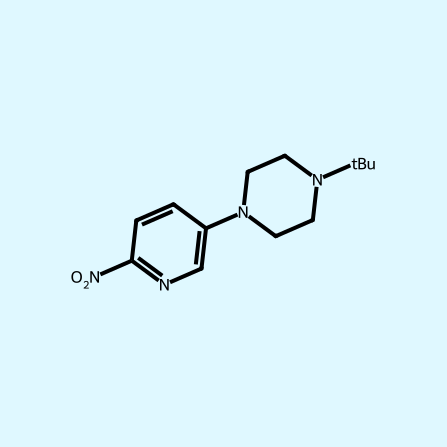 CC(C)(C)N1CCN(c2ccc([N+](=O)[O-])nc2)CC1